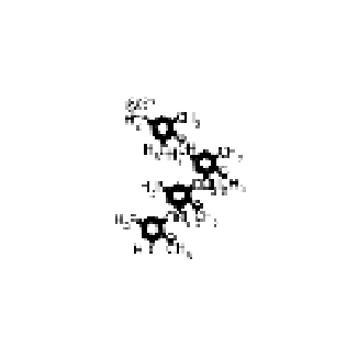 COc1c(C)cc(P)cc1C.COc1c(C)cc(P)cc1C.COc1c(C)cc(P)cc1C.COc1c(C)cc(P)cc1C.[Cl-].[Cl-].[Co+2]